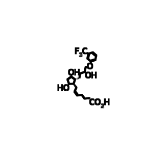 O=C(O)CCC/C=C\C[C@@H]1[C@@H](CC[C@@H](O)COc2cccc(C(F)(F)F)c2)[C@H](O)C[C@@H]1O